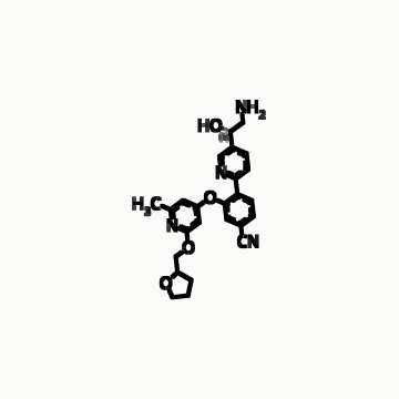 Cc1cc(Oc2cc(C#N)ccc2-c2ccc([C@H](O)CN)cn2)cc(OCC2CCCO2)n1